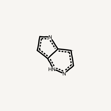 [c]1cn[nH]c2ccnc1-2